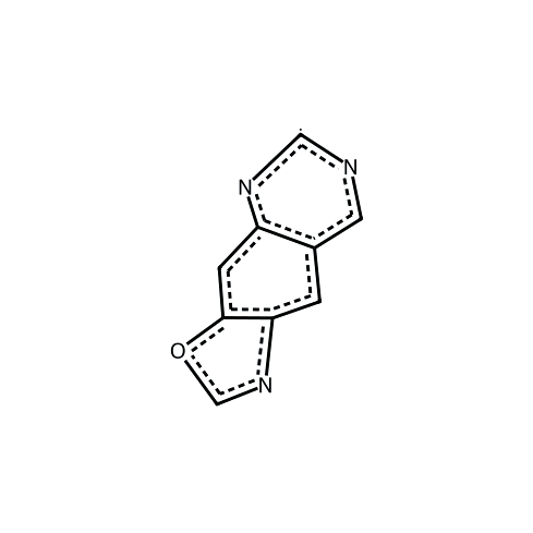 [c]1ncc2cc3ncoc3cc2n1